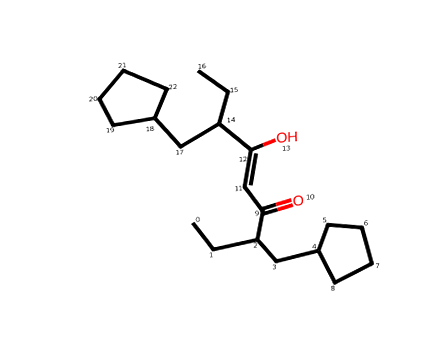 CCC(CC1CCCC1)C(=O)/C=C(\O)C(CC)CC1CCCC1